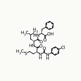 CSCC[C@H](NC(=O)Nc1ccc(Cl)cc1)C(=O)N[C@@H](CC(C)C)C(=O)N[C@@H](Cc1ccccc1)C(=O)O